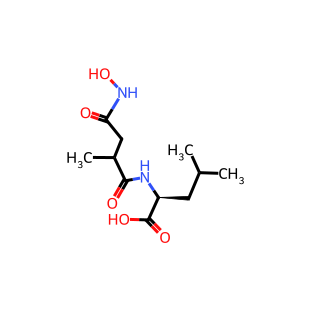 CC(C)C[C@H](NC(=O)C(C)CC(=O)NO)C(=O)O